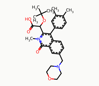 Cc1ccc(-c2c(C(OC(C)(C)C)C(=O)O)n(C)c(=O)c3cc(CN4CCOCC4)ccc23)cc1C